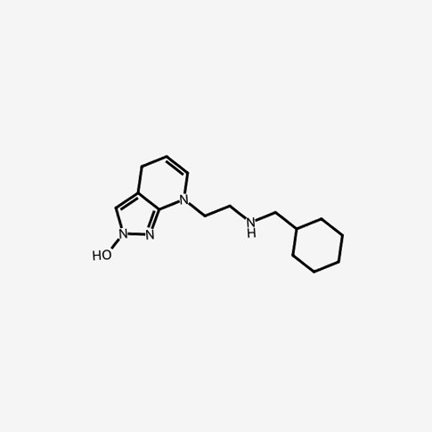 On1cc2c(n1)N(CCNCC1CCCCC1)C=CC2